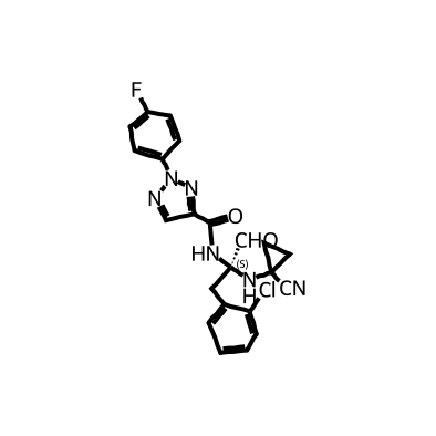 N#CC1(N[C@@](C=O)(Cc2ccccc2Cl)NC(=O)c2cnn(-c3ccc(F)cc3)n2)CC1